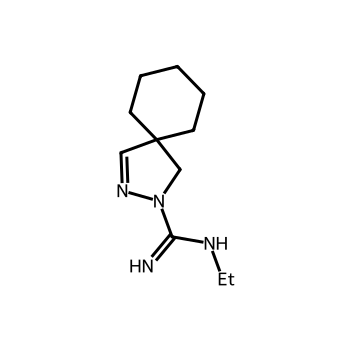 CCNC(=N)N1CC2(C=N1)CCCCC2